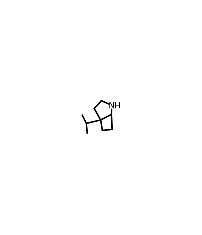 CC(C)C12CCNC1CC2